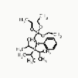 CCO[Si](CN(c1ccccc1)[Si](C(C)C)(C(C)C)C(C)C)(OCC)OCC